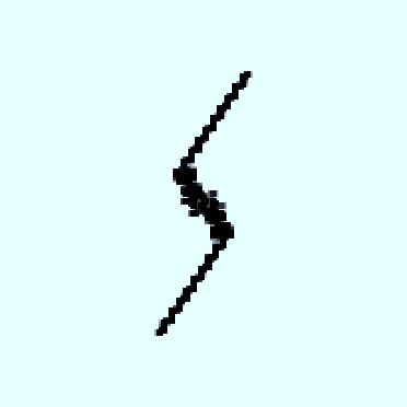 CCCCCCCCCCCCCCCCCCc1ccc(-c2cc3c(s2)sc2c4cc(-c5ccc(CCCCCCCCCCCCCCCCCC)o5)sc4sc32)o1